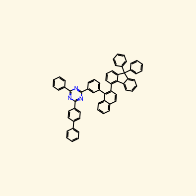 c1ccc(-c2ccc(-c3nc(-c4ccccc4)nc(-c4cccc(-c5c(-c6cccc7c6-c6ccccc6C7(c6ccccc6)c6ccccc6)ccc6ccccc56)c4)n3)cc2)cc1